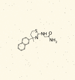 CC1(c2ccc3ccccc3c2)CCSC(NCC(N)=O)=N1